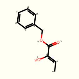 C/C=C(\O)C(=O)OCc1ccccc1